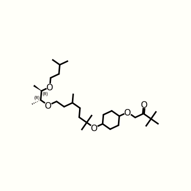 CC(C)CCO[C@H](C)[C@@H](C)OCCC(C)CCC(C)(C)OC1CCC(OCC(=O)C(C)(C)C)CC1